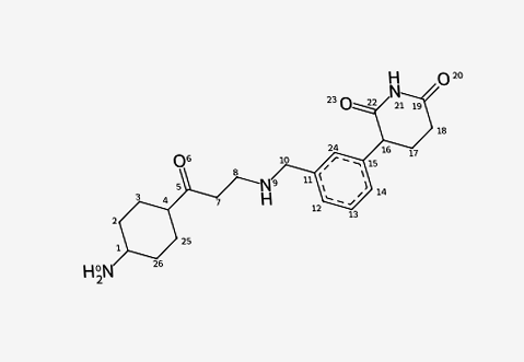 NC1CCC(C(=O)CCNCc2cccc(C3CCC(=O)NC3=O)c2)CC1